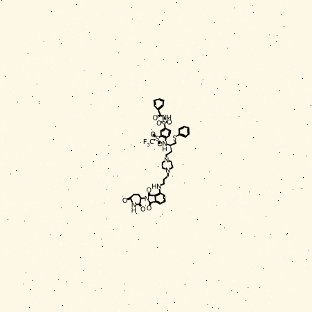 O=C1CCC(N2C(=O)c3cccc(NCCCN4CCN(CC[C@H](CSc5ccccc5)Nc5ccc(S(=O)(=O)NC(=O)c6ccccc6)cc5S(=O)(=O)C(F)(F)F)CC4)c3C2=O)C(=O)N1